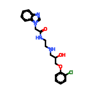 O=C(Cn1cnc2ccccc21)NCCNCC(O)COc1ccccc1Cl